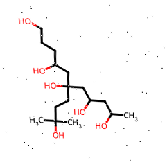 CC(O)CC(O)CC(O)(CCC(C)(C)O)CC(O)CCCO